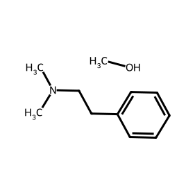 CN(C)CCc1ccccc1.CO